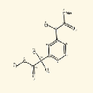 COC(=O)C(Cl)c1cccc(C(Cl)(Cl)C(=O)OCl)c1